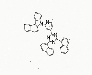 c1ccc2c(-c3nc(-c4ccnc(-n5c6ccccc6c6c7ccccc7ccc65)c4)nc(-c4cccc5ccccc45)n3)cccc2c1